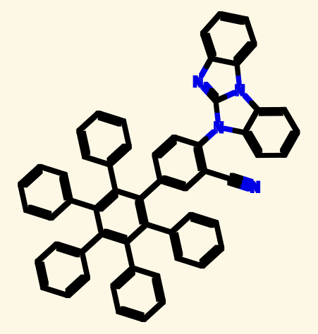 N#Cc1cc(-c2c(-c3ccccc3)c(-c3ccccc3)c(-c3ccccc3)c(-c3ccccc3)c2-c2ccccc2)ccc1-n1c2ccccc2n2c3ccccc3nc12